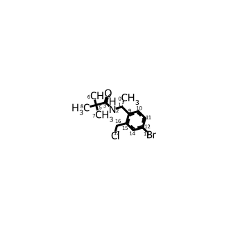 C[C@@H](NC(=O)C(C)(C)C)c1ccc(Br)cc1CCl